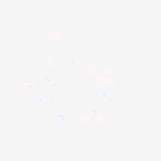 CC1Nc2ccn(c(=O)n2)[C@H]2O[C@H](CO)C(C)(COP(=O)(Oc3ccccc3)N[C@@H](C)C(=O)O1)C2(F)F